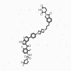 O=C1CCC(N2Cc3cc(CCCN4CC5(C4)CN(c4ccc(-c6cnc7[nH]cc(C(=O)c8c(F)ccc(NS(=O)(=O)N9CCC(F)(F)C9)c8F)c7c6)cc4)C5)ccc3C2=O)C(=O)N1